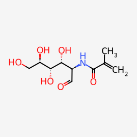 C=C(C)C(=O)N[C@@H](C=O)[C@@H](O)[C@H](O)[C@H](O)CO